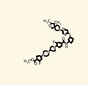 COC(=O)c1ccc(N2CCN(C3CCN(c4ccc(C(=O)Nc5cccc(Sc6cnc(N7CCC8(CC7)CO[C@@H](C)[C@H]8C)cn6)c5)cc4F)CC3)CC2)cc1F